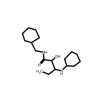 CCC(NC1CCCCC1)C(O)C(=O)NCC1CCCCC1